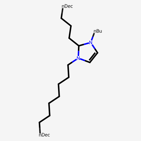 CCCCCCCCCCCCCCCCCN1C=CN(CCCC)C1CCCCCCCCCCCCC